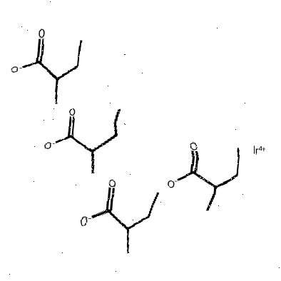 CCC(C)C(=O)[O-].CCC(C)C(=O)[O-].CCC(C)C(=O)[O-].CCC(C)C(=O)[O-].[Ir+4]